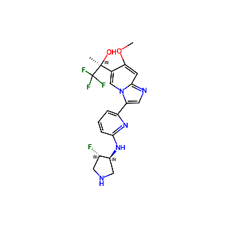 COc1cc2ncc(-c3cccc(N[C@H]4CNC[C@@H]4F)n3)n2cc1[C@](C)(O)C(F)(F)F